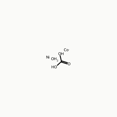 O.O=C(O)O.[Co].[Ni]